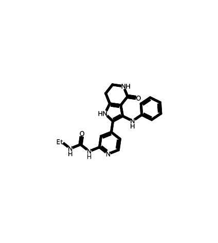 CCNC(=O)Nc1cc(-c2[nH]c3c(c2Nc2ccccc2)C(=O)NCC3)ccn1